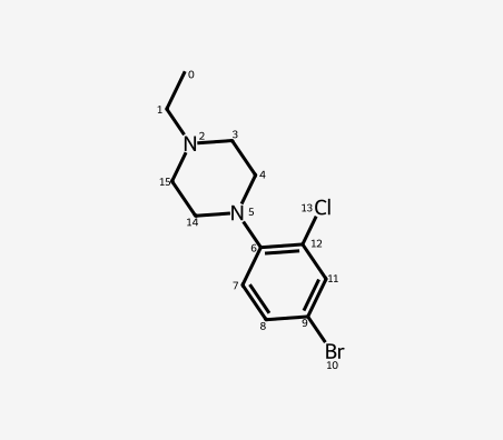 CCN1CCN(c2ccc(Br)cc2Cl)CC1